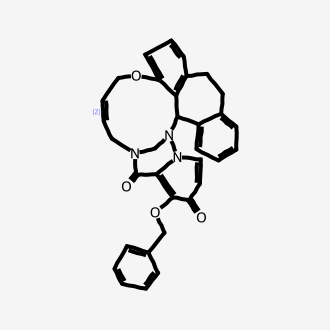 O=C1c2c(OCc3ccccc3)c(=O)ccn2N2CN1C/C=C\COc1cccc3c1C2c1ccccc1CC3